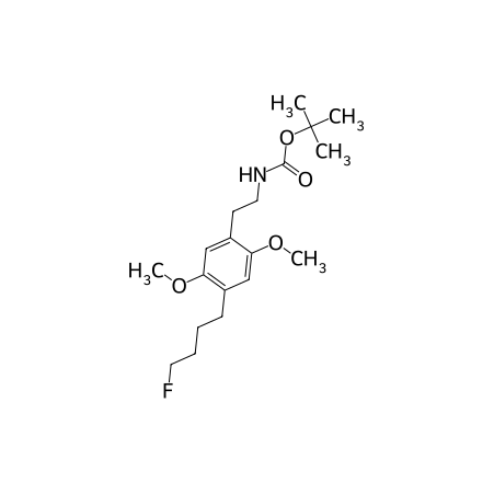 COc1cc(CCNC(=O)OC(C)(C)C)c(OC)cc1CCCCF